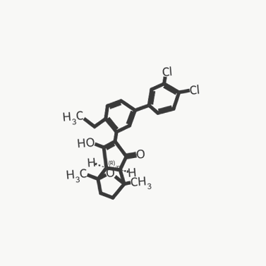 CCc1ccc(-c2ccc(Cl)c(Cl)c2)cc1C1=C(O)[C@H]2[C@@H](C1=O)C1(C)CCC2(C)O1